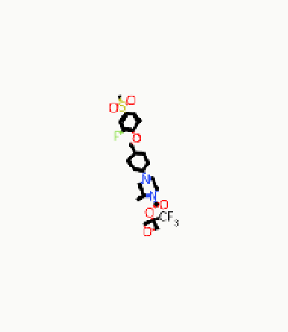 CC1CN(C2CCC(COc3ccc(S(C)(=O)=O)cc3F)CC2)CCN1C(=O)OC1(C(F)(F)F)COC1